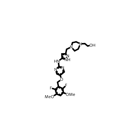 COc1cc(OC)c(F)c(COc2cnc(Nc3cc(CN4CCN(CCO)CC4)n[nH]3)nc2)c1F